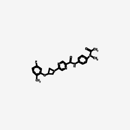 CC(=O)N(C)c1ccc(NC(=O)c2cnc(N3CC(Oc4cc(F)ccc4C)C3)cn2)cc1